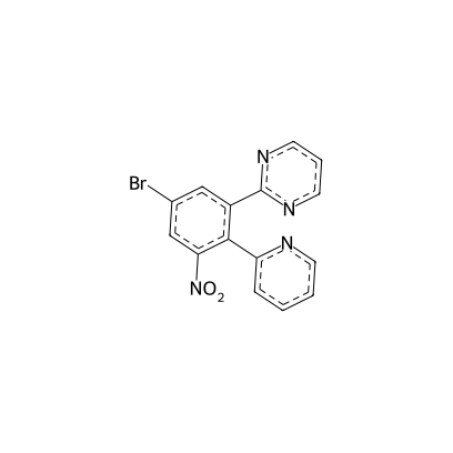 O=[N+]([O-])c1cc(Br)cc(-c2ncccn2)c1-c1ccccn1